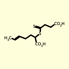 CC=CCCC(SC(=S)CCC(=O)O)C(=O)O